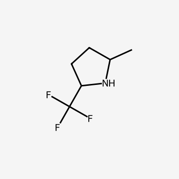 CC1CCC(C(F)(F)F)N1